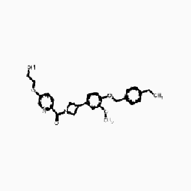 CCc1ccc(COc2ccc(C3CN(C(=O)c4ccc(OCCO)cn4)C3)cc2OC)cc1